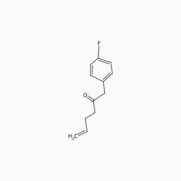 C=CCCC(=O)Cc1ccc(F)cc1